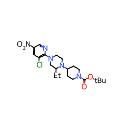 CCC1CN(c2ncc([N+](=O)[O-])cc2Cl)CCN1C1CCN(C(=O)OC(C)(C)C)CC1